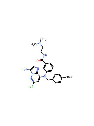 COc1ccc(CN(c2cccc(C(=O)NCCN(C)C)c2)c2cc(Cl)nn3c(N)cnc23)cc1